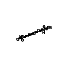 CC(C)(C)OC(=O)NCCOCCOCCOCCCNC(=O)CCl